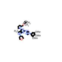 COc1cc(-n2cnc(Nc3nc(N4CCCC4CO[Si](C)(C)C(C)(C)C)c4c(C)nn(C5CCOCC5)c4n3)c2)cc(OC)c1OC